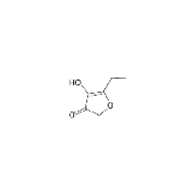 CCC1=C(O)C(=O)CO1